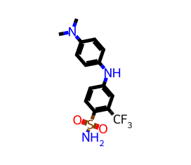 CN(C)c1ccc(Nc2ccc(S(N)(=O)=O)c(C(F)(F)F)c2)cc1